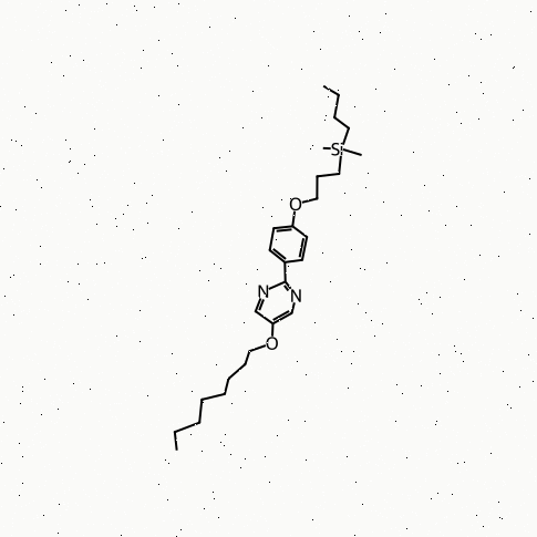 CCCCCCCCOc1cnc(-c2ccc(OCCC[Si](C)(C)CCCC)cc2)nc1